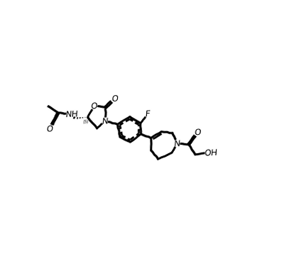 CC(=O)NC[C@H]1CN(c2ccc(C3=CCN(C(=O)CO)CCC3)c(F)c2)C(=O)O1